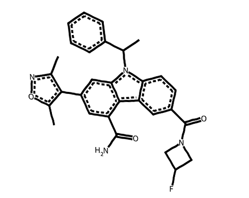 Cc1noc(C)c1-c1cc(C(N)=O)c2c3cc(C(=O)N4CC(F)C4)ccc3n(C(C)c3ccccc3)c2c1